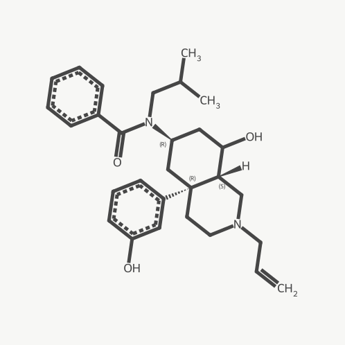 C=CCN1CC[C@@]2(c3cccc(O)c3)C[C@@H](N(CC(C)C)C(=O)c3ccccc3)CC(O)[C@@H]2C1